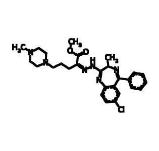 COC(=O)C(CCCN1CCN(C)CC1)=NNC1=Nc2ccc(Cl)cc2C(c2ccccc2)=NC1C